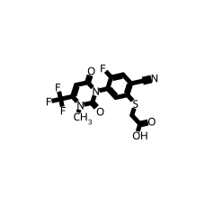 Cn1c(C(F)(F)F)cc(=O)n(-c2cc(SCC(=O)O)c(C#N)cc2F)c1=O